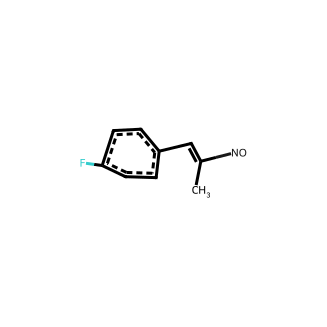 CC(=Cc1ccc(F)cc1)N=O